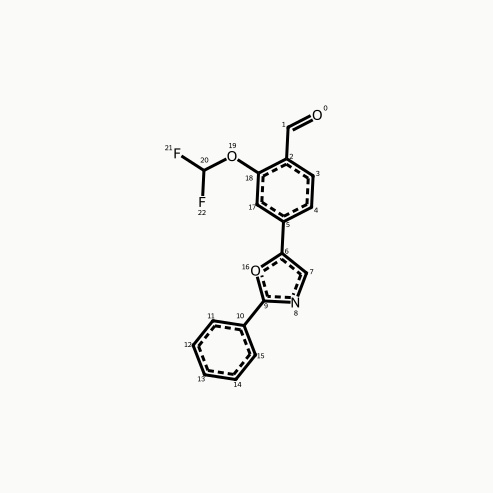 O=Cc1ccc(-c2cnc(-c3ccccc3)o2)cc1OC(F)F